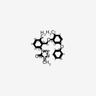 Cc1ccc(Oc2ccccc2)cc1OCc1c(C)cccc1-n1nnn(C)c1=O